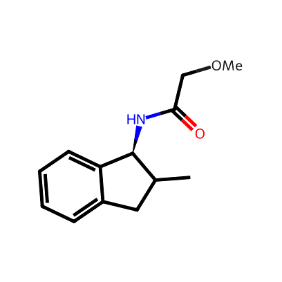 COCC(=O)N[C@@H]1c2ccccc2CC1C